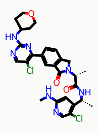 CNc1cc([C@@H](C)NC(=O)[C@@H](C)N2Cc3ccc(-c4nc(NC5CCOCC5)ncc4Cl)cc3C2=O)c(Cl)cn1